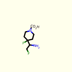 NC(CF)C1(F)CCN(C(=O)O)CC1